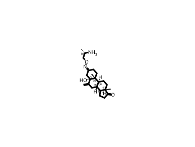 C=C1C[C@H]2[C@@H]3CCC(=O)[C@@]3(C)CC[C@@H]2[C@@]2(C)CCC(=NOC[C@H](C)N)C[C@]12O